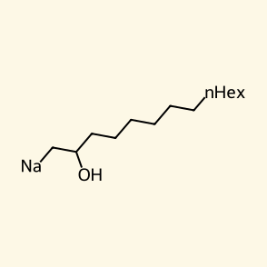 CCCCCCCCCCCCC(O)[CH2][Na]